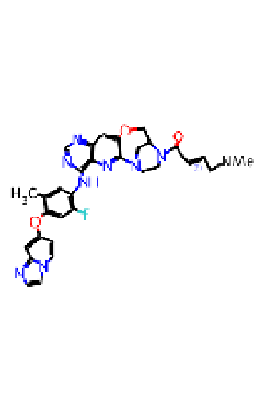 CNC/C=C/C(=O)N1CCN2CC1COc1cc3ncnc(Nc4cc(C)c(Oc5ccn6ccnc6c5)cc4F)c3nc12